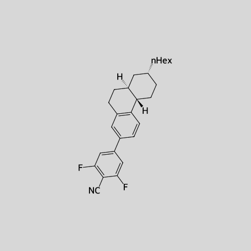 CCCCCC[C@@H]1CC[C@@H]2c3ccc(-c4cc(F)c(C#N)c(F)c4)cc3CC[C@H]2C1